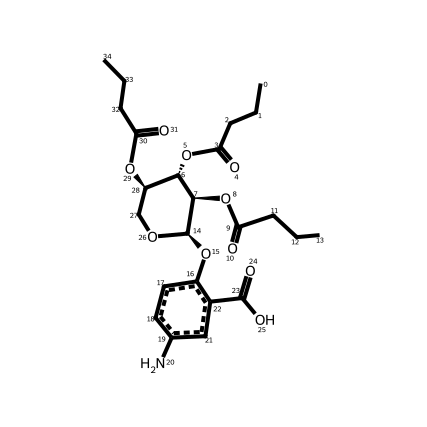 CCCC(=O)O[C@@H]1[C@@H](OC(=O)CCC)[C@@H](Oc2ccc(N)cc2C(=O)O)OC[C@H]1OC(=O)CCC